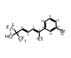 CC/C(=C\C=C\C(O)(C(F)(F)F)C(F)(F)F)c1cccc(Br)c1